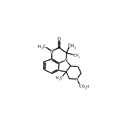 CN1C(=O)C(C)(C)N2c3c1cccc3C1(C)CN(C(=O)O)CCC21